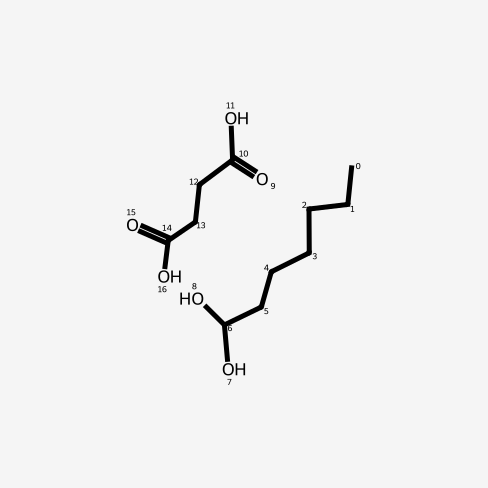 CCCCCCC(O)O.O=C(O)CCC(=O)O